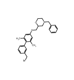 Cc1cc(OCC2CN(Cc3ccccc3)CCO2)cc(C)c1-c1cccc(CBr)c1